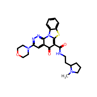 CN1CCCC1CCNC(=O)c1c(=O)c2cc(N3CCOCC3)nnc2n2c1sc1ccccc12